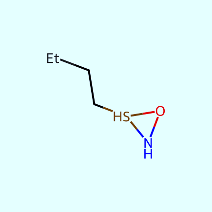 CCCC[SH]1NO1